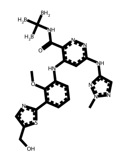 BC(B)(B)NC(=O)c1nnc(Nc2cnn(C)n2)cc1Nc1cccc(-c2ncc(CO)s2)c1OC